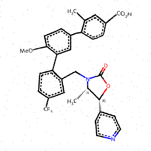 COc1ccc(-c2ccc(C(=O)O)cc2C)cc1-c1ccc(C(F)(F)F)cc1CN1C(=O)O[C@H](c2ccncc2)[C@@H]1C